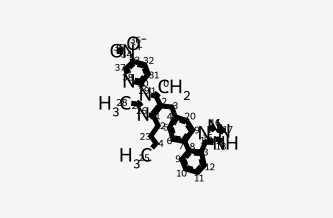 C=C1C(Cc2ccc(-c3ccccc3-c3nnn[nH]3)cc2)=C(CCCC)N=C(C)N1c1ccc([N+](=O)[O-])cn1